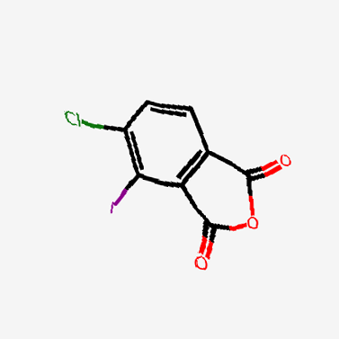 O=C1OC(=O)c2c1ccc(Cl)c2I